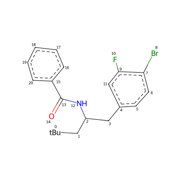 CC(C)(C)CC(Cc1ccc(Br)c(F)c1)NC(=O)c1ccccc1